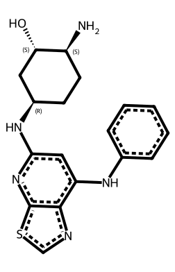 N[C@H]1CC[C@@H](Nc2cc(Nc3ccccc3)c3ncsc3n2)C[C@@H]1O